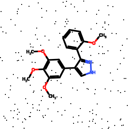 COc1ccccc1-c1n[nH]cc1-c1cc(OC)c(OC)c(OC)c1